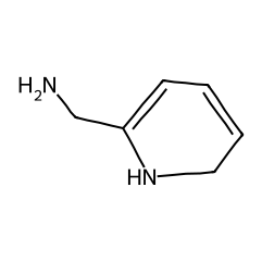 NCC1=CC=CCN1